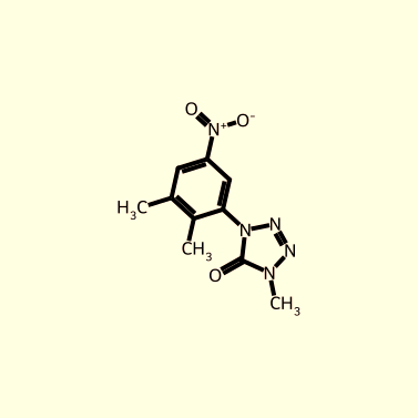 Cc1cc([N+](=O)[O-])cc(-n2nnn(C)c2=O)c1C